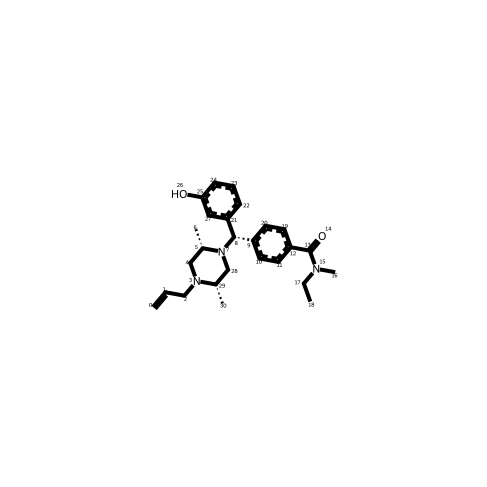 C=CCN1C[C@H](C)N([C@@H](c2ccc(C(=O)N(C)CC)cc2)c2cccc(O)c2)C[C@@H]1C